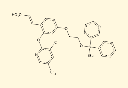 CC(C)(C)[Si](OCCOc1ccc(C=CC(=O)O)c(Oc2ncc(C(F)(F)F)cc2Cl)c1)(c1ccccc1)c1ccccc1